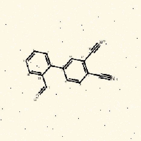 N#Cc1ccc(-c2ccccc2C=O)cc1C#N